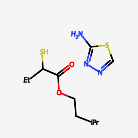 CCC(S)C(=O)OCCC(C)C.Nc1nncs1